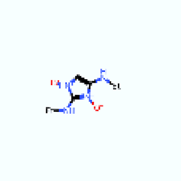 CCNC1=C[NH+]([O-])C(NCC)=[N+]1[O-]